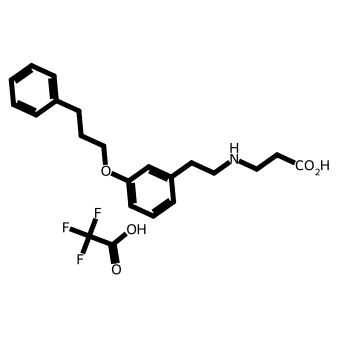 O=C(O)C(F)(F)F.O=C(O)CCNCCc1cccc(OCCCc2ccccc2)c1